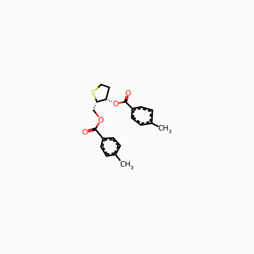 Cc1ccc(C(=O)OC[C@@H]2SCC[C@@H]2OC(=O)c2ccc(C)cc2)cc1